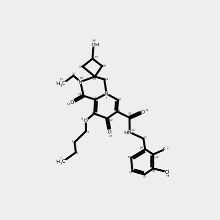 CCCCOc1c2n(cc(C(=O)NCc3cccc(Cl)c3F)c1=O)CC1(CC(O)C1)N(CC)C2=O